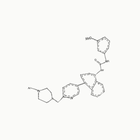 COc1cccc(NC(=O)Nc2ccc(-c3ccc(CN4CCN(C(C)=O)CC4)nc3)c3ccccc23)c1